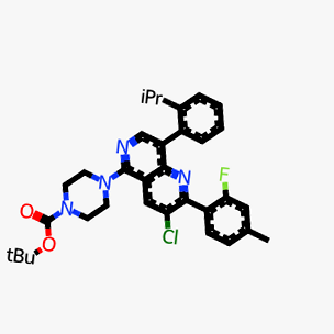 Cc1ccc(-c2nc3c(-c4ccccc4C(C)C)cnc(N4CCN(C(=O)OC(C)(C)C)CC4)c3cc2Cl)c(F)c1